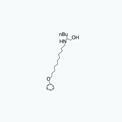 CCCCC(CO)NCCCCCCCCCCCOc1ccccc1